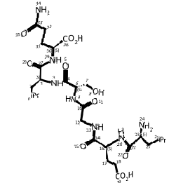 CC(C)C[C@H](NC(=O)[C@H](CO)NC(=O)CNC(=O)[C@H](CCC(=O)O)NC(=O)[C@@H](N)CC(C)C)C(=O)N[C@@H](CCC(N)=O)C(=O)O